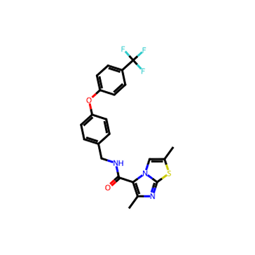 Cc1cn2c(C(=O)NCc3ccc(Oc4ccc(C(F)(F)F)cc4)cc3)c(C)nc2s1